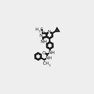 C[C@@H](NC(=O)Nc1ccc(-c2cc(C3CC3)nc3c2c(N)nn3C)cc1)c1ccccc1